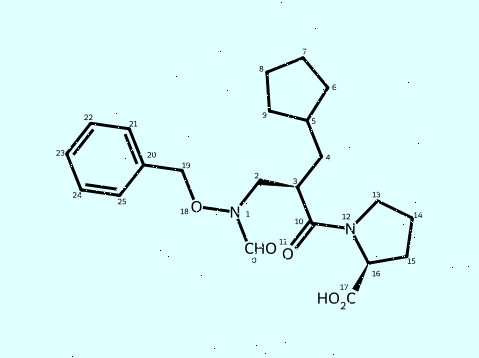 O=CN(C[C@@H](CC1CCCC1)C(=O)N1CCC[C@H]1C(=O)O)OCc1ccccc1